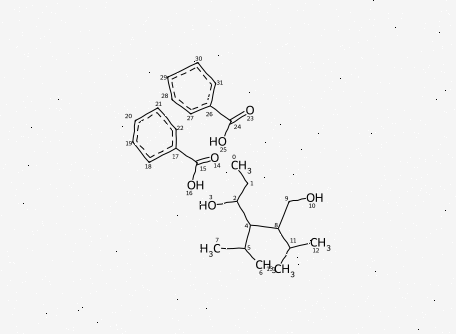 CCC(O)C(C(C)C)C(CO)C(C)C.O=C(O)c1ccccc1.O=C(O)c1ccccc1